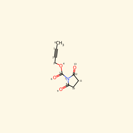 CC#CCOC(=O)N1C(=O)CCC1=O